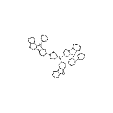 c1ccc(-n2c3cc(-c4ccc(N(c5ccc6c(c5)C5(c7ccccc7-c7ccccc75)c5ccccc5-6)c5ccc6oc7ccccc7c6c5)cc4)ccc3c3ccc4ccccc4c32)cc1